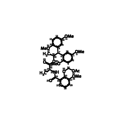 COc1ccc(OC)c(C(c2cc(OC)ccc2OC)[C@H](C)OC(=O)[C@H](C)NC(=O)c2nccc(OC)c2OCOC(C)=O)c1